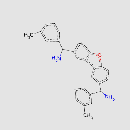 Cc1cccc(C(N)c2ccc3oc4ccc(C(N)c5cccc(C)c5)cc4c3c2)c1